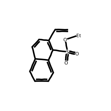 C=Cc1ccc2ccccc2c1S(=O)(=O)OCC